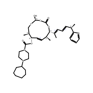 C/C(=C\C=C\[C@@H](C)c1ccccn1)[C@H]1OC(=O)C[C@H](O)CC[C@H](C)[C@@H](OC(=O)N2CCN(C3CCCCCC3)CC2)/C=C/[C@@H]1C